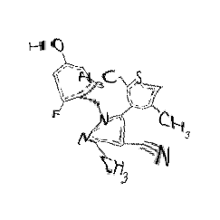 Cc1csc(C)c1-c1c(C#N)c(C)nn1-c1ccc(O)cc1F